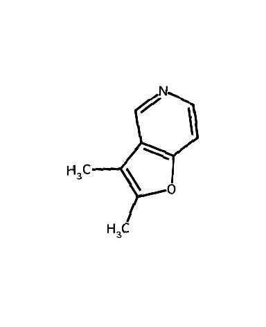 Cc1oc2ccncc2c1C